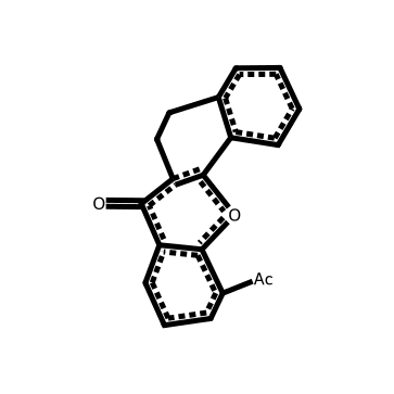 CC(=O)c1cccc2c(=O)c3c(oc12)-c1ccccc1CC3